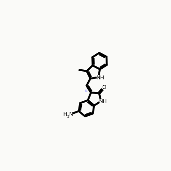 Cc1c(/C=C2\C(=O)Nc3ccc(N)cc32)[nH]c2ccccc12